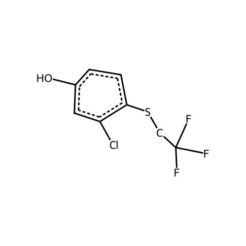 Oc1ccc(SCC(F)(F)F)c(Cl)c1